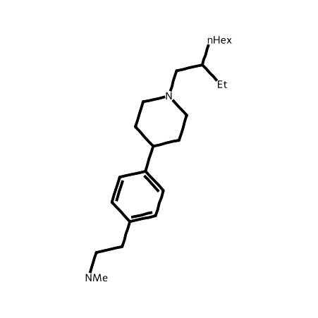 CCCCCCC(CC)CN1CCC(c2ccc(CCNC)cc2)CC1